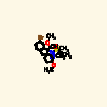 C=C(OCC)[C@@]1(N[S@@+]([O-])C(C)(C)C)c2cc(Br)ccc2CC12CCC(OC)CC2